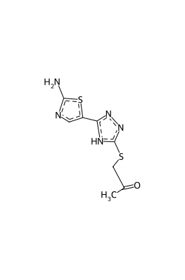 CC(=O)CSc1nnc(-c2cnc(N)s2)[nH]1